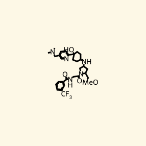 COCC1CC(NC2CCC(O)(c3ccc(CN(C)C)cn3)CC2)CN1C(=O)CNC(=O)c1cccc(C(F)(F)F)c1